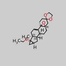 CCO[C@@]12C[C@@H]1C[C@H]1[C@@H]3CC[C@@]45CC6(CC[C@@]4(O5)C3=CC[C@@]12C)OCCO6